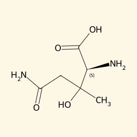 CC(O)(CC(N)=O)[C@H](N)C(=O)O